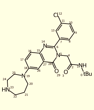 CC(C)(C)NC(=O)Cn1c(-c2cccc(Cl)c2)nc2ccc(N3CCCNCC3)cc2c1=O